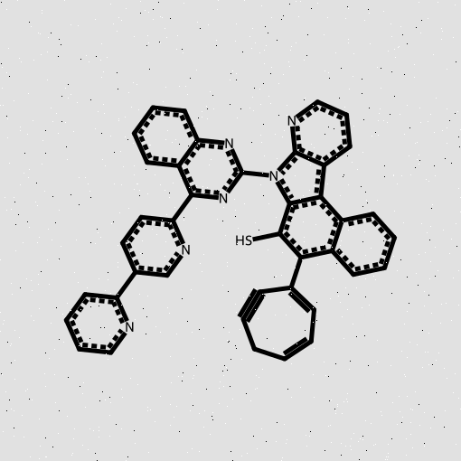 Sc1c(C2=CC=CCC#C2)c2ccccc2c2c3cccnc3n(-c3nc(-c4ccc(-c5ccccn5)cn4)c4ccccc4n3)c12